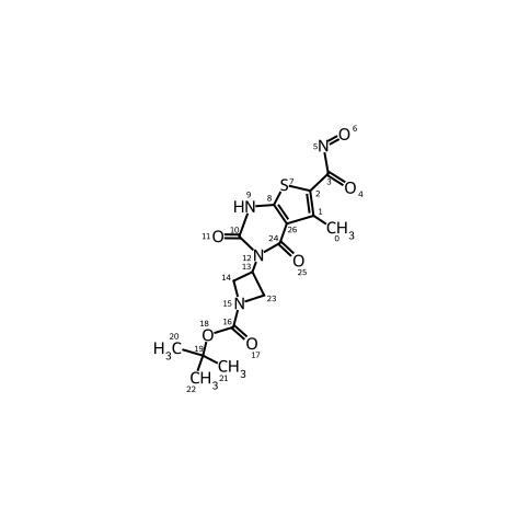 Cc1c(C(=O)N=O)sc2[nH]c(=O)n(C3CN(C(=O)OC(C)(C)C)C3)c(=O)c12